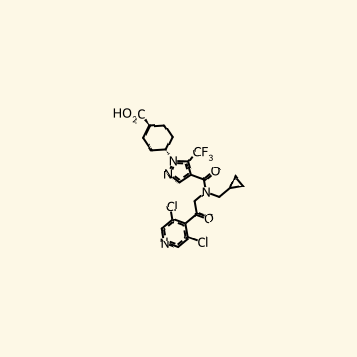 O=C(CN(CC1CC1)C(=O)c1cnn([C@H]2CC[C@H](C(=O)O)CC2)c1C(F)(F)F)c1c(Cl)cncc1Cl